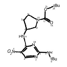 CC(C)(C)Nc1ncc([N+](=O)[O-])c(NC2CCN(C(=O)OC(C)(C)C)C2)n1